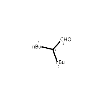 CCCCC([C]=O)CCCC